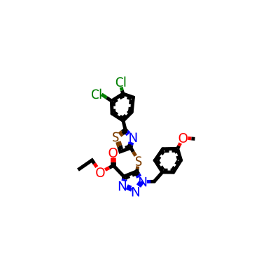 CCOC(=O)c1nnn(Cc2ccc(OC)cc2)c1Sc1csc(-c2ccc(Cl)c(Cl)c2)n1